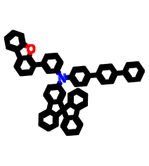 c1ccc(-c2ccc(-c3ccc(N(c4cccc(-c5cccc6c5oc5ccccc56)c4)c4ccc5c(c4)C4(c6ccccc6-c6ccccc64)c4ccccc4-5)cc3)cc2)cc1